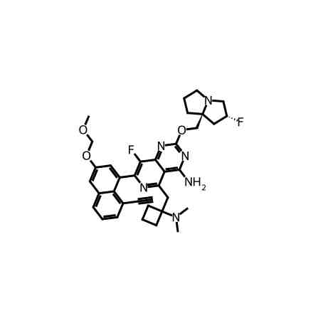 C#Cc1cccc2cc(OCOC)cc(-c3nc(CC4(N(C)C)CCC4)c4c(N)nc(OC[C@@]56CCCN5C[C@H](F)C6)nc4c3F)c12